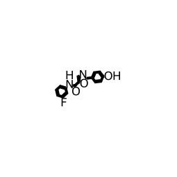 O=C(Nc1cccc(F)c1)c1cnc(-c2ccc(O)cc2)o1